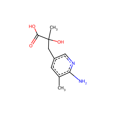 Cc1cc(CC(C)(O)C(=O)O)cnc1N